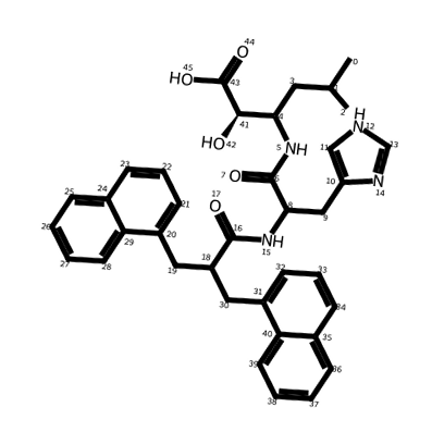 CC(C)CC(NC(=O)C(Cc1c[nH]cn1)NC(=O)C(Cc1cccc2ccccc12)Cc1cccc2ccccc12)[C@@H](O)C(=O)O